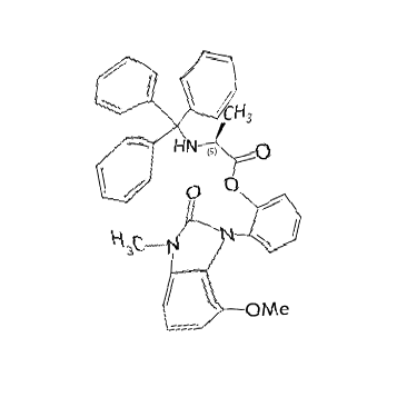 COc1cccc2c1n(-c1ccccc1OC(=O)[C@H](C)NC(c1ccccc1)(c1ccccc1)c1ccccc1)c(=O)n2C